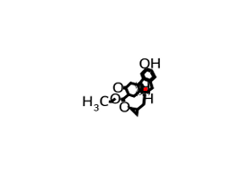 CCOC(=O)C1C[C@@H]2[C@H]3Cc4ccc(O)cc4[C@@]2(CCN3CC2CC2)CC1=O